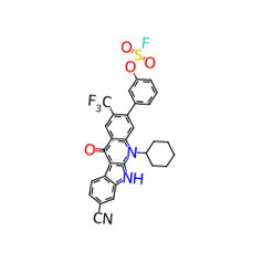 N#Cc1ccc2c(c1)[nH]c1c2c(=O)c2cc(C(F)(F)F)c(-c3cccc(OS(=O)(=O)F)c3)cc2n1C1CCCCC1